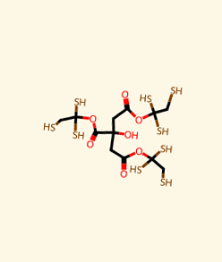 O=C(CC(O)(CC(=O)OC(S)(S)CS)C(=O)OC(S)(S)CS)OC(S)(S)CS